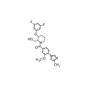 COc1cc(C(=O)N2CCCC(Oc3cc(F)cc(F)c3)C2CO)ccc1-n1cnc(C)c1